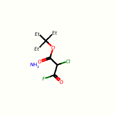 CCC(CC)(CC)OC(=O)C(Cl)C(=O)F.N